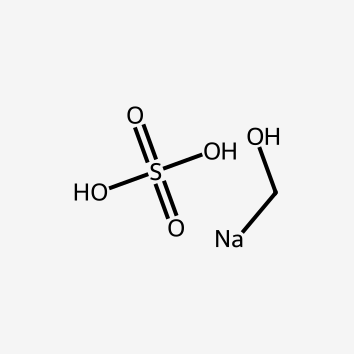 O=S(=O)(O)O.O[CH2][Na]